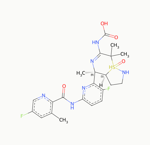 Cc1cc(F)cnc1C(=O)Nc1ccc(F)c([C@@]2(C)N=C(NC(=O)O)C(C)(C)[SH]3(=O)NCC[C@@H]23)n1